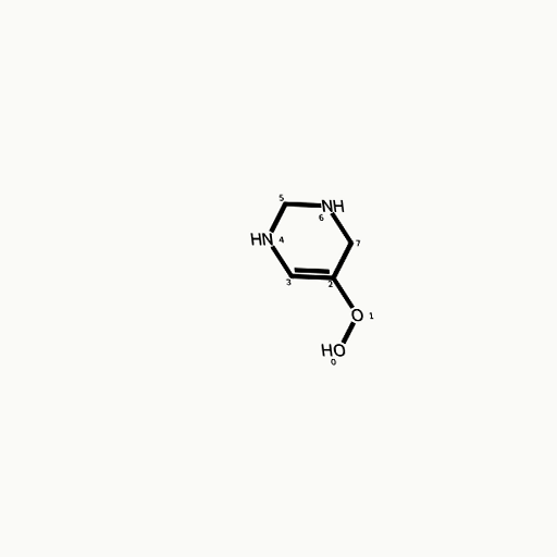 OOC1=CNCNC1